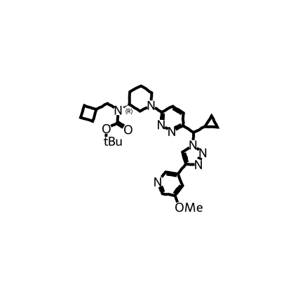 COc1cncc(-c2cn(C(c3ccc(N4CCC[C@@H](N(CC5CCC5)C(=O)OC(C)(C)C)C4)nn3)C3CC3)nn2)c1